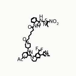 CC(=O)N1CCc2c(c(N3CCCc4cc(-c5cnn(C)c5)c(C(F)F)cc43)nn2C2CCN(C(=O)CCCCCC(=O)Nc3ccccc3C(=O)Nc3nc(C)c([N+](=O)[O-])s3)CC2)C1